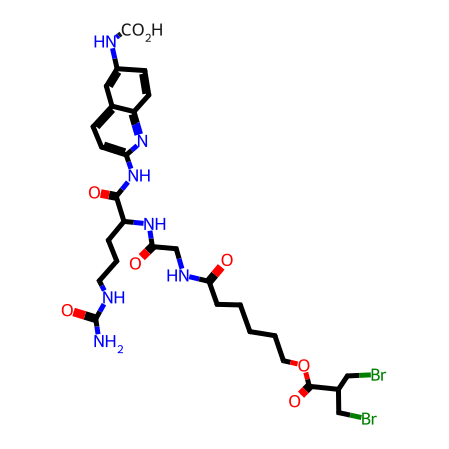 NC(=O)NCCCC(NC(=O)CNC(=O)CCCCCOC(=O)C(CBr)CBr)C(=O)Nc1ccc2cc(NC(=O)O)ccc2n1